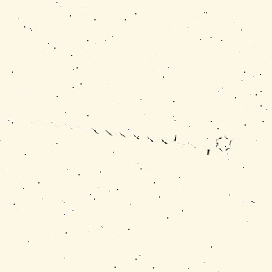 CCCCCCCCCC=CC=CC=CC=CC=CC=CC(=O)NCCOC(=O)c1ccc(Br)cc1